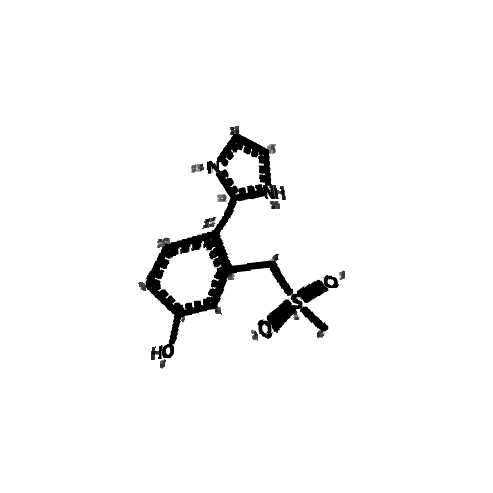 CS(=O)(=O)Cc1cc(O)ccc1-c1ncc[nH]1